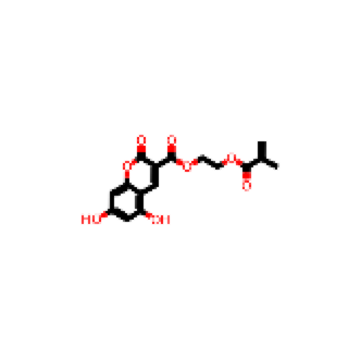 C=C(C)C(=O)OCCOC(=O)c1cc2c(O)cc(O)cc2oc1=O